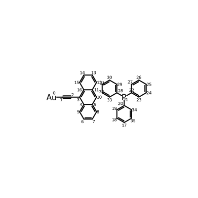 [Au][C]#Cc1c2ccccc2cc2ccccc12.c1ccc(P(c2ccccc2)c2ccccc2)cc1